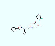 O=C(O)CC(NC(=O)CNC(=C1CCC1)c1cc(-c2ccccc2)on1)C(=O)COc1c(F)c(F)cc(F)c1F